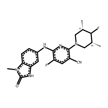 C[C@@H]1CN(c2nc(Nc3ccc4c(c3)[nH]c(=O)n4C)c(F)cc2C#N)C[C@H](C)C1F